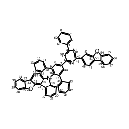 c1ccc(-c2nc(-c3cc(-c4ccccc4)c(-n4c5ccccc5c5c6oc7ccccc7c6ccc54)c(-c4ccccc4)c3)nc(-c3ccc4c(c3)oc3ccccc34)n2)cc1